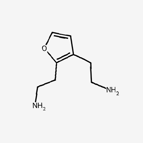 NCCc1ccoc1CCN